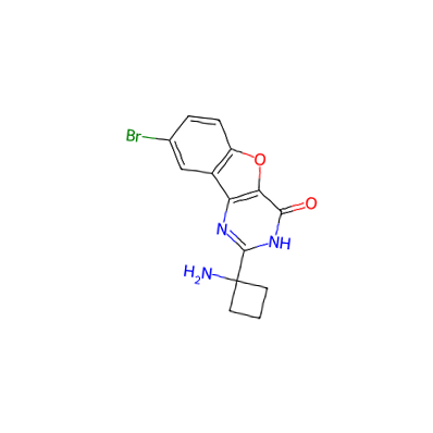 NC1(c2nc3c(oc4ccc(Br)cc43)c(=O)[nH]2)CCC1